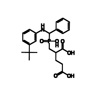 CC(C)(C)c1cccc(NC(c2ccccc2)P(=O)(O)CC(CCC(=O)O)C(=O)O)c1